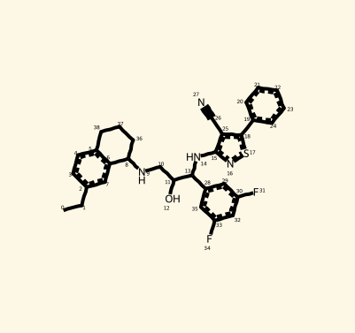 CCc1ccc2c(c1)C(NCC(O)C(Nc1nsc(-c3ccccc3)c1C#N)c1cc(F)cc(F)c1)CCC2